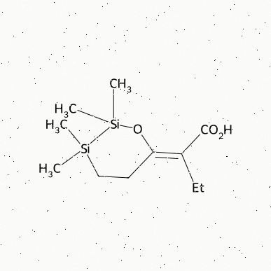 CCC(C(=O)O)=C1CC[Si](C)(C)[Si](C)(C)O1